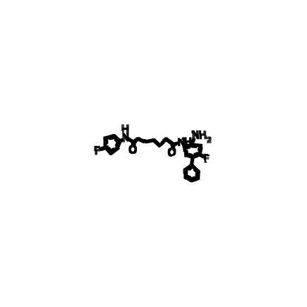 Nc1cc(F)c(-c2ccccc2)cc1NC(=O)CCCCCC(=O)Nc1ccc(F)cc1